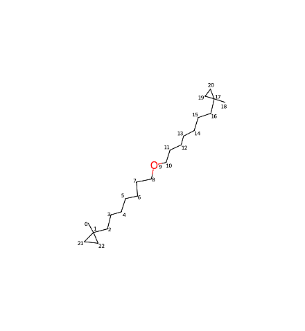 CC1(CCCCCCCOCCCCCCCC2(C)CC2)CC1